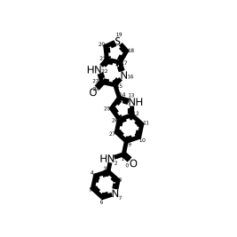 O=C(Nc1cccnc1)c1ccc2[nH]c(-c3nc4cscc4[nH]c3=O)cc2c1